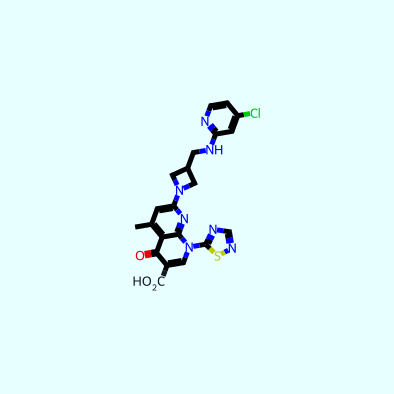 Cc1cc(N2CC(CNc3cc(Cl)ccn3)C2)nc2c1c(=O)c(C(=O)O)cn2-c1ncns1